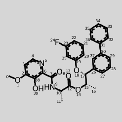 COc1ccnc(C(=O)N[C@@H](C)C(=O)O[C@@H](C)[C@H](Oc2cccc(F)c2)c2cccc(-c3ccccc3)c2)c1O